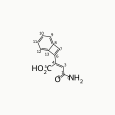 NC(=O)C=C(C(=O)O)C1=Cc2ccccc21